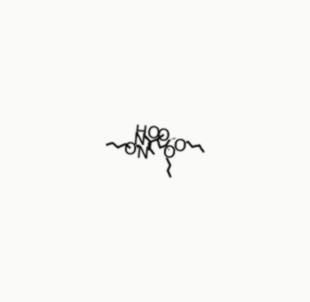 CCCCOC[C@H]1OC(O)(c2cnc(OCCCC)nc2C)C[C@H]1OCCCC